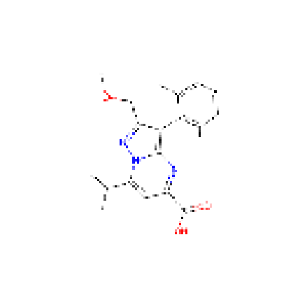 COCc1nn2c(C(C)C)cc(C(=O)O)nc2c1-c1c(C)cccc1C